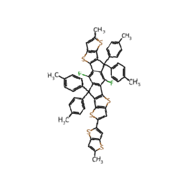 Cc1ccc(C2(c3ccc(C)cc3)c3c(F)c4c(c(F)c3-c3sc5cc(C)sc5c32)C(c2ccc(C)cc2)(c2ccc(C)cc2)c2c-4sc3cc(-c4cc5sc(C)cc5s4)sc23)cc1